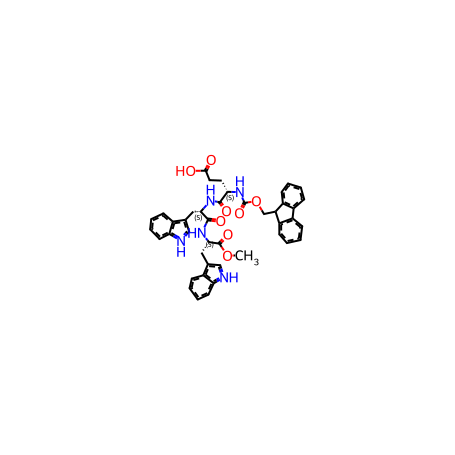 COC(=O)[C@H](Cc1c[nH]c2ccccc12)NC(=O)[C@H](Cc1c[nH]c2ccccc12)NC(=O)[C@H](CCC(=O)O)NC(=O)OCC1c2ccccc2-c2ccccc21